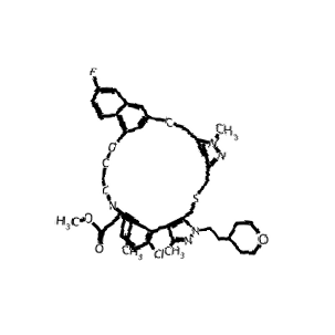 COC(=O)c1c(C)c2c3c(Cl)ccc2n1CCCOc1cc(cc2cc(F)ccc12)CCc1cc(nn1C)CSCc1c-3c(C)nn1CCC1CCOCC1